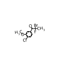 COc1cc(C(=O)C(C)(F)Br)ccc1Cl